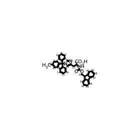 Cc1ccc(C(c2ccccc2)(c2ccccc2)n2cnc(C[C@H](NC(=O)OCC3c4ccccc4-c4ccccc43)C(=O)O)c2)cc1